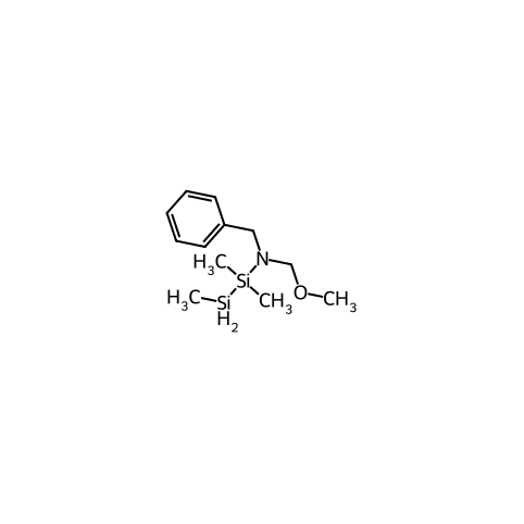 COCN(Cc1ccccc1)[Si](C)(C)[SiH2]C